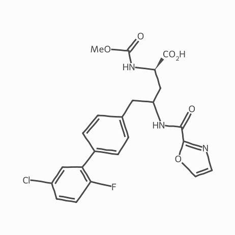 COC(=O)N[C@H](CC(Cc1ccc(-c2cc(Cl)ccc2F)cc1)NC(=O)c1ncco1)C(=O)O